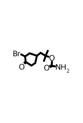 CC(C)(CC1CCC(=O)C(Br)C1)OC(N)=O